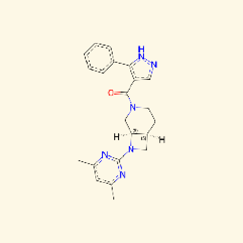 Cc1cc(C)nc(N2C[C@@H]3CCN(C(=O)c4cn[nH]c4-c4ccccc4)C[C@@H]32)n1